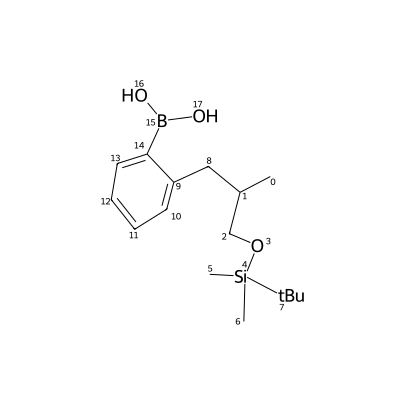 CC(CO[Si](C)(C)C(C)(C)C)Cc1ccccc1B(O)O